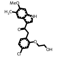 COc1cc2[nH]cc(C(=O)Cc3ccc(Cl)cc3OCCO)c2cc1C